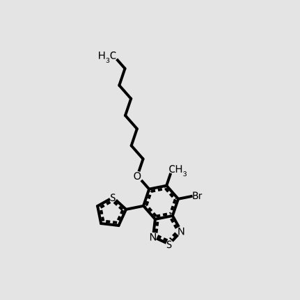 CCCCCCCCOc1c(C)c(Br)c2nsnc2c1-c1cccs1